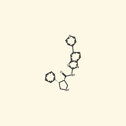 O=C(Nc1nc2ccc(-c3ccncc3)cc2s1)[C@H]1CNC[C@@H]1c1ccccc1